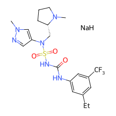 CCc1cc(NC(=O)NS(=O)(=O)N(C[C@@H]2CCCN2C)c2cnn(C)c2)cc(C(F)(F)F)c1.[NaH]